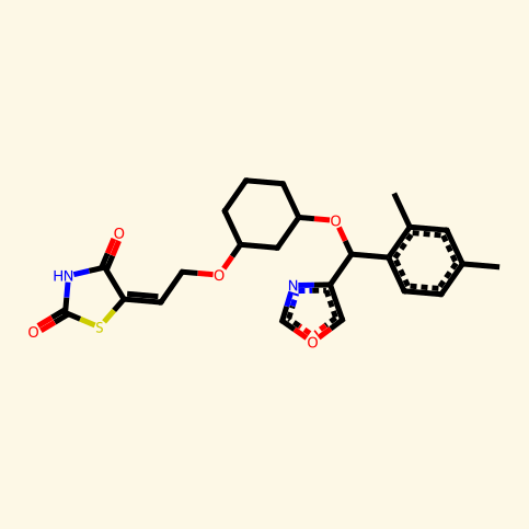 Cc1ccc(C(OC2CCCC(OCC=C3SC(=O)NC3=O)C2)c2cocn2)c(C)c1